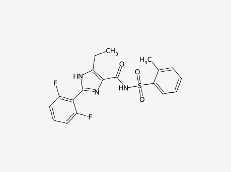 CCc1[nH]c(-c2c(F)cccc2F)nc1C(=O)NS(=O)(=O)c1ccccc1C